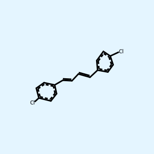 Clc1ccc(C=CC=Cc2ccc(Cl)cc2)cc1